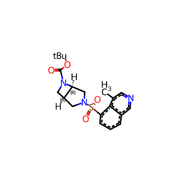 Cc1cncc2cccc(S(=O)(=O)N3C[C@H]4CN(C(=O)OC(C)(C)C)[C@H]4C3)c12